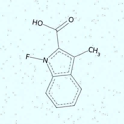 Cc1c(C(=O)O)n(F)c2ccccc12